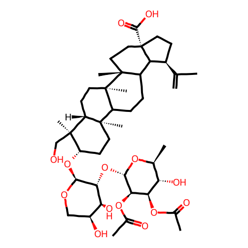 C=C(C)[C@@H]1CC[C@]2(C(=O)O)CC[C@]3(C)C(CCC4[C@@]5(C)CC[C@H](O[C@@H]6OC[C@H](O)[C@H](O)[C@H]6O[C@@H]6O[C@@H](C)[C@H](O)[C@@H](OC(C)=O)[C@H]6OC(C)=O)[C@@](C)(CO)[C@@H]5CC[C@]43C)C12